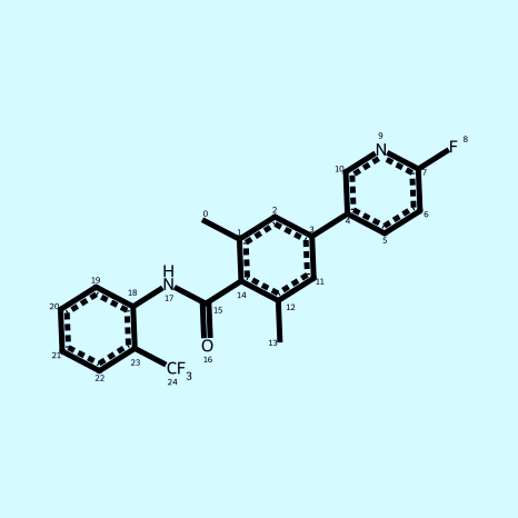 Cc1cc(-c2ccc(F)nc2)cc(C)c1C(=O)Nc1ccccc1C(F)(F)F